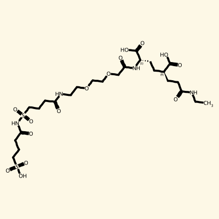 CCNC(=O)CC[C@@H](CC[C@H](NC(=O)COCCOCCNC(=O)CCCS(=O)(=O)NC(=O)CCCS(=O)(=O)O)C(=O)O)C(=O)O